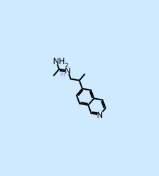 C/C(N)=N\CC(C)c1ccc2cnccc2c1